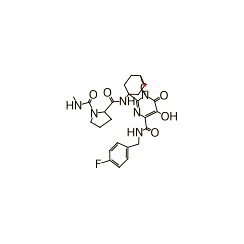 CNC(=O)N1CCCC1C(=O)NC12CCC(CC1)Cn1c2nc(C(=O)NCc2ccc(F)cc2)c(O)c1=O